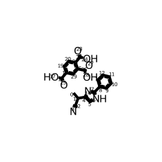 CC(C#N)c1c[nH]c(-c2ccccc2)n1.O=C(O)c1ccc(C(=O)O)c(C(=O)O)c1